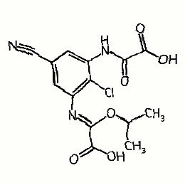 CC(C)O/C(=N\c1cc(C#N)cc(NC(=O)C(=O)O)c1Cl)C(=O)O